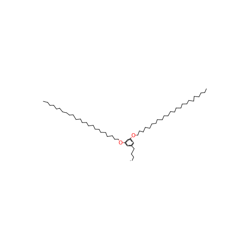 [CH2]CCCc1cc(OCCCCCCCCCCCCCCCCCCCCCCCC)cc(OCCCCCCCCCCCCCCCCCCCCCCCC)c1